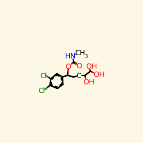 CNC(=O)OC(CCC(O)C(O)O)c1ccc(Cl)c(Cl)c1